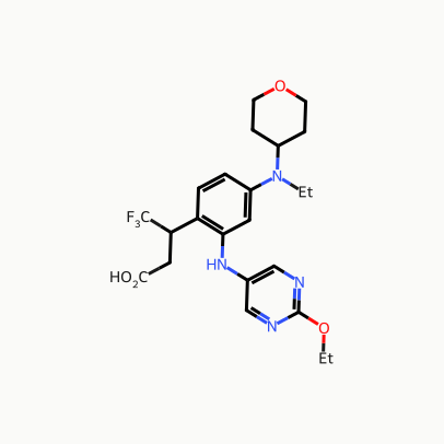 CCOc1ncc(Nc2cc(N(CC)C3CCOCC3)ccc2C(CC(=O)O)C(F)(F)F)cn1